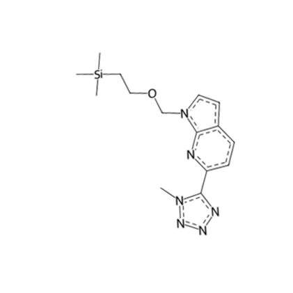 Cn1nnnc1-c1ccc2ccn(COCC[Si](C)(C)C)c2n1